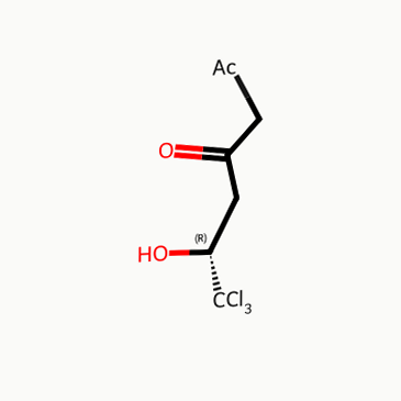 CC(=O)CC(=O)C[C@@H](O)C(Cl)(Cl)Cl